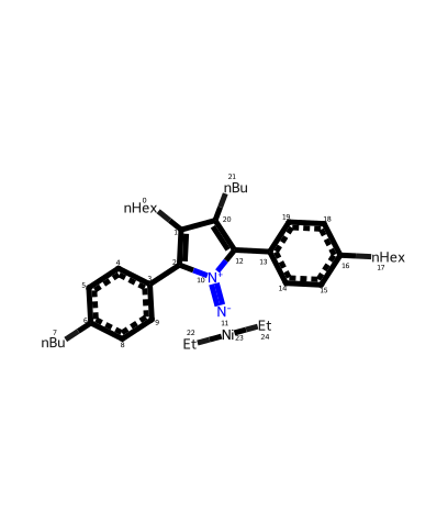 CCCCCCC1=C(c2ccc(CCCC)cc2)[N+](=[N-])C(c2ccc(CCCCCC)cc2)=C1CCCC.C[CH2][Ni][CH2]C